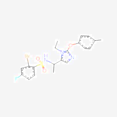 CCn1c(C(C)NS(=O)(=O)c2ccc(F)cc2Br)cnc1Oc1ccc(C)cc1